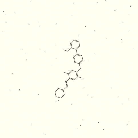 CCc1ccccc1-c1ccc(Cc2cc(C)c(N=CN3CCCCC3)cc2C)cc1